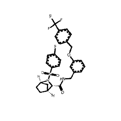 O=C(NCc1cccc(OCc2ccc(C(F)(F)F)cc2)c1)[C@@H]1[C@H]2CC[C@H](C2)N1S(=O)(=O)c1ccc(F)cc1